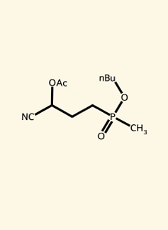 CCCCOP(C)(=O)CCC(C#N)OC(C)=O